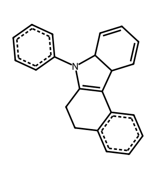 C1=CC2C3=C(CCc4ccccc43)N(c3ccccc3)C2C=C1